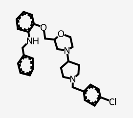 Clc1ccc(CN2CCC(N3CCOC(COc4ccccc4NCc4ccccc4)C3)CC2)cc1